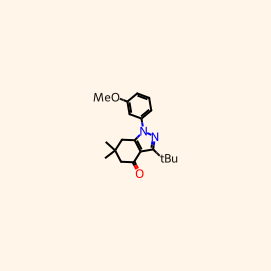 COc1cccc(-n2nc(C(C)(C)C)c3c2CC(C)(C)CC3=O)c1